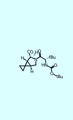 CC(C)(C)OC(=O)N[C@H](C(=O)N1C[C@H]2[C@@H]([C@H]1C(=O)O)C21CC1)C(C)(C)C